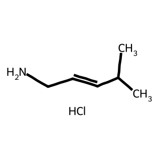 CC(C)C=CCN.Cl